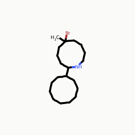 CC1(Br)CCCCNC(C2CCCCCCCCC2)CCC1